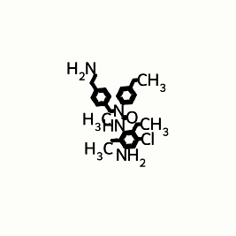 CCc1ccc(N(C(=O)Nc2c(CC)c(N)cc(Cl)c2CC)C(C)c2ccc(CCN)cc2)cc1